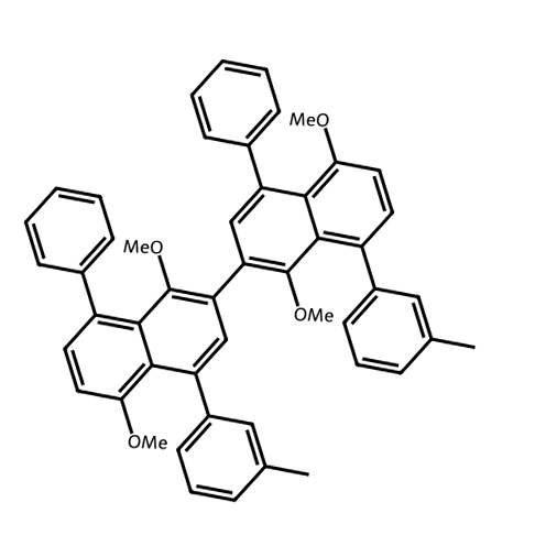 COc1ccc(-c2ccccc2)c2c(OC)c(-c3cc(-c4ccccc4)c4c(OC)ccc(-c5cccc(C)c5)c4c3OC)cc(-c3cccc(C)c3)c12